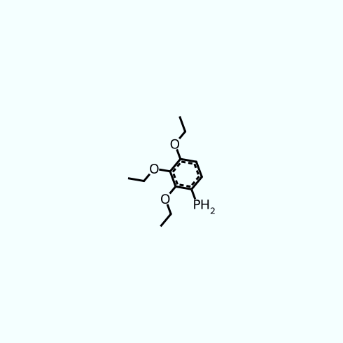 CCOc1ccc(P)c(OCC)c1OCC